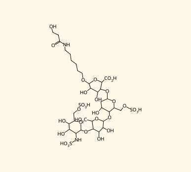 O=C(CCO)NCCCCCCOC1OC(C(=O)O)C(OC2CC(O)C(OC3OC(C(=O)O)C(OC4OC(COS(=O)(=O)O)C(O)C(O)C4NS(=O)(=O)O)C(O)C3O)C(COS(=O)(=O)O)O2)C(O)C1O